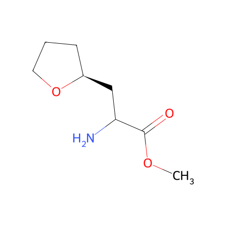 COC(=O)C(N)C[C@@H]1CCCO1